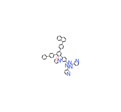 C1=CB2c3c(-c4ccc(-c5ccccc5)cc4)cc(-c4ccc(-c5cccc6ccccc56)cc4)cc3-c3ccc(-c4nc(-c5cccnc5)nc(-c5cccnc5)n4)cc3N2C=C1